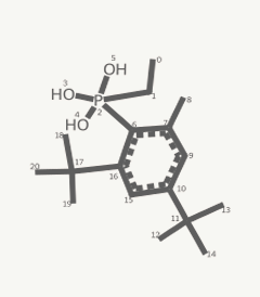 CCP(O)(O)(O)c1c(C)cc(C(C)(C)C)cc1C(C)(C)C